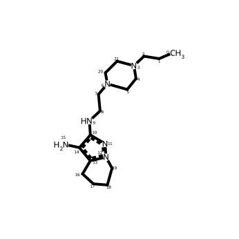 CCCN1CCN(CCNc2nn3c(c2N)CCCC3)CC1